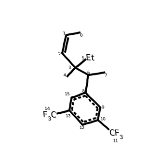 C/C=C\C(C)(CC)C(C)c1cc(C(F)(F)F)cc(C(F)(F)F)c1